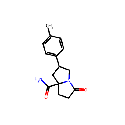 Cc1ccc(C2CN3C(=O)CCC3(C(N)=O)C2)cc1